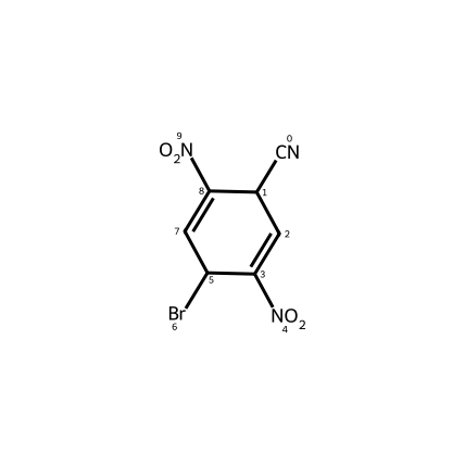 N#CC1C=C([N+](=O)[O-])C(Br)C=C1[N+](=O)[O-]